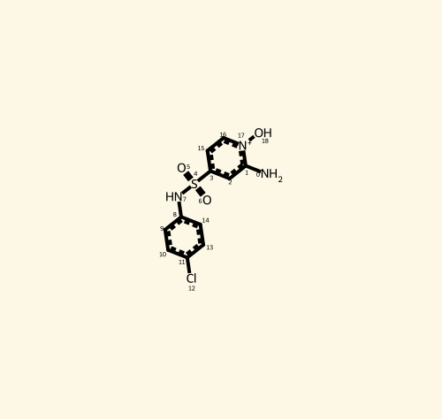 Nc1cc(S(=O)(=O)Nc2ccc(Cl)cc2)cc[n+]1O